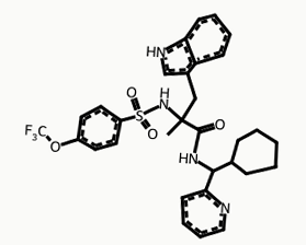 CC(Cc1c[nH]c2ccccc12)(NS(=O)(=O)c1ccc(OC(F)(F)F)cc1)C(=O)NC(c1ccccn1)C1CCCCC1